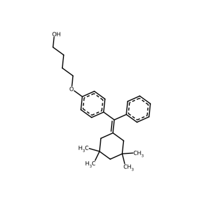 CC1(C)CC(=C(c2ccccc2)c2ccc(OCCCCO)cc2)CC(C)(C)C1